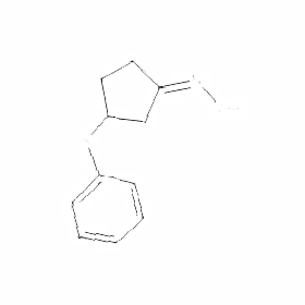 ON=C1CCC(Sc2ccccc2)C1